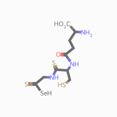 NC(CCC(=O)NC(CS)C(=S)NCC(=S)[SeH])C(=O)O